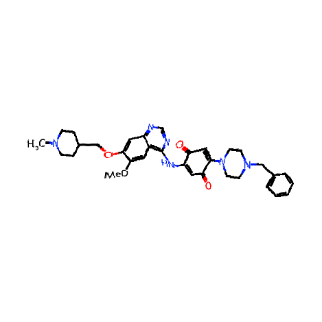 COc1cc2c(NC3=CC(=O)C(N4CCN(Cc5ccccc5)CC4)=CC3=O)ncnc2cc1OCC1CCN(C)CC1